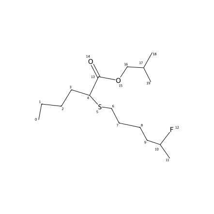 CCCCC(SCCCCC(C)F)C(=O)OCC(C)C